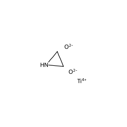 C1CN1.[O-2].[O-2].[Ti+4]